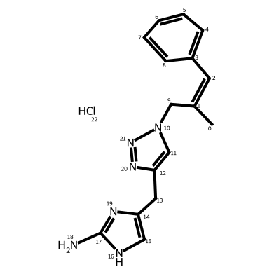 CC(=Cc1ccccc1)Cn1cc(Cc2c[nH]c(N)n2)nn1.Cl